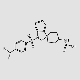 O=C(O)NC1CCC2(CC1)CN(S(=O)(=O)c1ccc(C(F)F)cc1)c1ccccc12